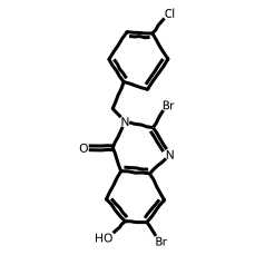 O=c1c2cc(O)c(Br)cc2nc(Br)n1Cc1ccc(Cl)cc1